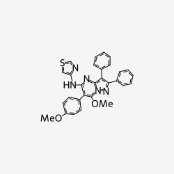 COc1ccc(-c2c(Nc3cscn3)nc3c(-c4ccccc4)c(-c4ccccc4)nn3c2OC)cc1